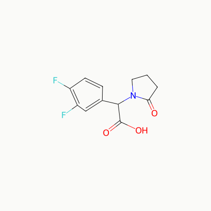 O=C(O)C(c1ccc(F)c(F)c1)N1CCCC1=O